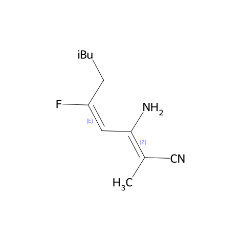 CCC(C)C/C(F)=C\C(N)=C(/C)C#N